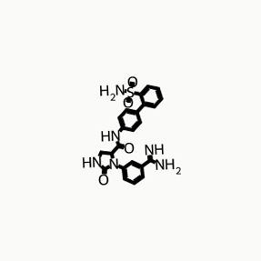 N=C(N)c1cccc(N2C(=O)NCC2C(=O)Nc2ccc(-c3ccccc3S(N)(=O)=O)cc2)c1